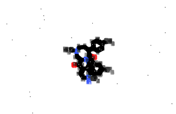 Cc1ccc(C2CCN(C)CC3C(=O)C4=CCNCC4C[N+]3(Cc3cc(C(F)(F)F)cc(C(F)(F)F)c3)C2=O)cc1